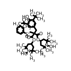 CC(C)(C)c1cc(CC(C[S+]([O-])c2ccccc2)(C(=O)OC2CC(C)(C)N(O)C(C)(C)C2)C(=O)OC2CC(C)(C)N(O)C(C)(C)C2)cc(C(C)(C)C)c1O